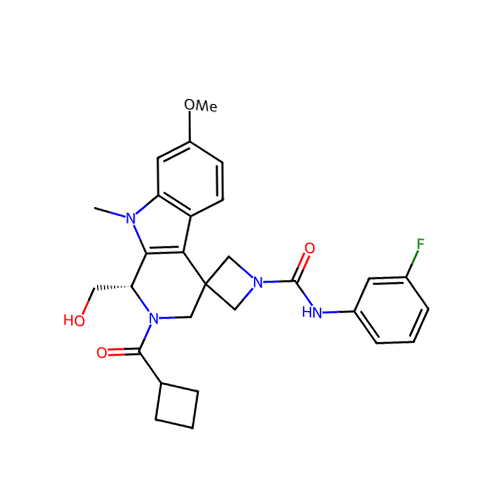 COc1ccc2c3c(n(C)c2c1)[C@@H](CO)N(C(=O)C1CCC1)CC31CN(C(=O)Nc2cccc(F)c2)C1